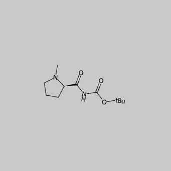 CN1CCC[C@@H]1C(=O)NC(=O)OC(C)(C)C